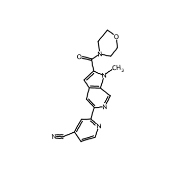 Cn1c(C(=O)N2CCOCC2)cc2cc(-c3cc(C#N)ccn3)ncc21